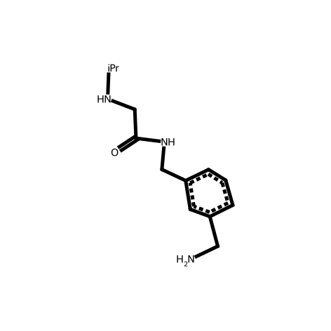 CC(C)NCC(=O)NCc1cccc(CN)c1